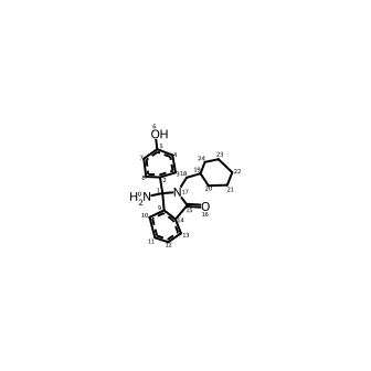 NC1(c2ccc(O)cc2)c2ccccc2C(=O)N1CC1CCCCC1